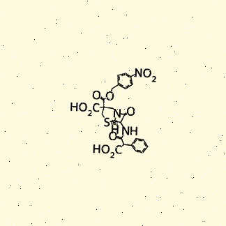 O=C(O)C(C(=O)NC1C(=O)N2CC(C(=O)O)(C(=O)OCc3ccc([N+](=O)[O-])cc3)CS[C@H]12)c1ccccc1